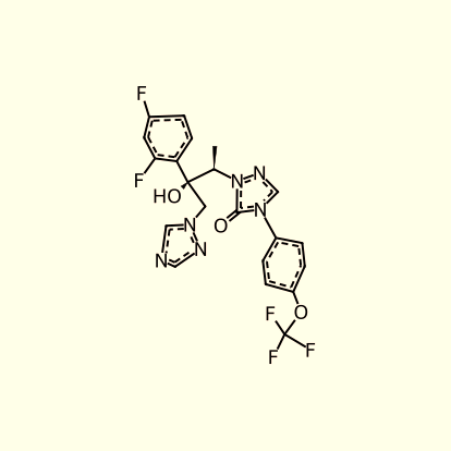 C[C@@H](n1ncn(-c2ccc(OC(F)(F)F)cc2)c1=O)[C@](O)(Cn1cncn1)c1ccc(F)cc1F